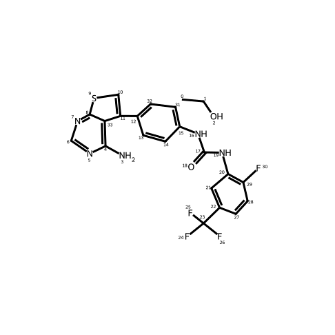 CCO.Nc1ncnc2scc(-c3ccc(NC(=O)Nc4cc(C(F)(F)F)ccc4F)cc3)c12